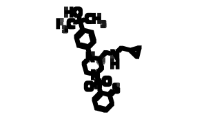 CC(O)(c1ccc(N2CCN(S(=O)(=O)C3=CC=CCC3=S)C[C@@H]2CNCC2CC2)cc1)C(F)(F)F